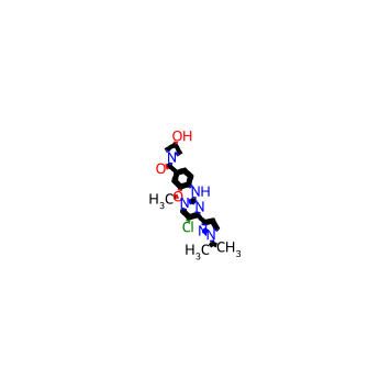 COc1cc(C(=O)N2CC(O)C2)ccc1Nc1ncc(Cl)c(-c2ccn(C(C)C)n2)n1